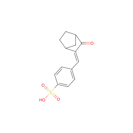 O=C1C(=Cc2ccc(S(=O)(=O)O)cc2)C2CCC1C2